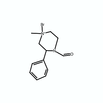 C[N+]1(Br)CCN(C=O)C(c2ccccc2)C1